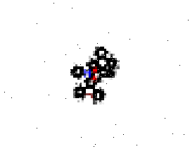 c1ccc(N(c2ccc3c(c2)-c2ccccc2Oc2ccccc2-3)c2ccc3c(c2)C2(c4ccccc4-c4ccccc4-3)c3ccccc3-c3ccccc32)cc1